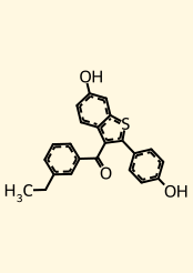 CCc1cccc(C(=O)c2c(-c3ccc(O)cc3)sc3cc(O)ccc23)c1